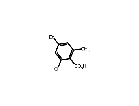 CCc1cc(C)c(C(=O)O)c(Cl)c1